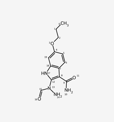 CCCOc1ccc2c(C(N)=O)c(N(N)C=O)[nH]c2c1